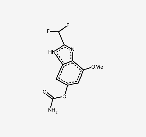 COc1cc(OC(N)=O)cc2[nH]c(C(F)F)nc12